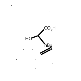 C=C.CCCCC(O)C(=O)O